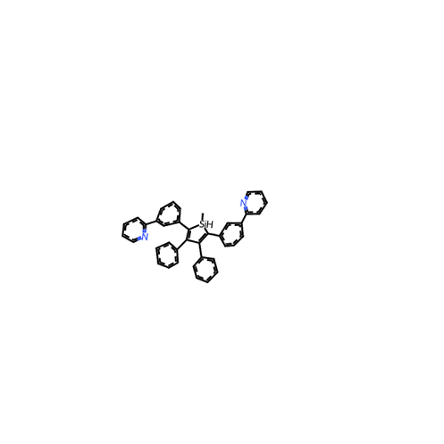 C[SiH]1C(c2cccc(-c3ccccn3)c2)=C(c2ccccc2)C(c2ccccc2)=C1c1cccc(-c2ccccn2)c1